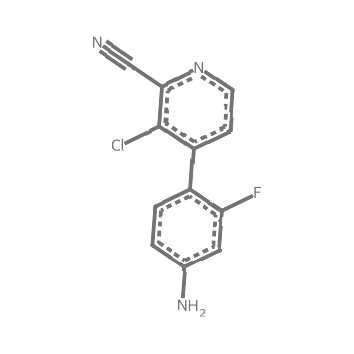 N#Cc1nccc(-c2ccc(N)cc2F)c1Cl